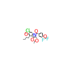 CCCCc1c(OC)c(Cl)cc2c1c(OC(C)=O)c(C)n2C(=O)c1ccc(OC(F)F)cc1